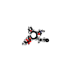 CO/N=C1\C[C@@H](C)O[C@@H](O[C@@H]2[C@@H](C)[C@H](O[C@H]3C[C@@H](C)N(C)C[C@H](C)O3)[C@@H](C)C(=O)O[C@H](C(C)CO[C@@H]3O[C@H](C)[C@@H](O)[C@@H](OC)[C@H]3OC)[C@H](C)[C@@H](OC(=O)CC(C)C)[C@@H](C)C(=O)[C@@](C)(OC(=O)NC(C)(C)CNS(=O)(=O)c3ccccc3)C[C@@H]2C)[C@@H]1O